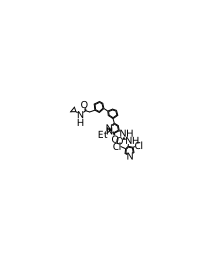 CCn1nc(-c2cccc(-c3cccc(CC(=O)NC4CC4)c3)c2)cc(NC(=O)Nc2c(Cl)cncc2Cl)c1=O